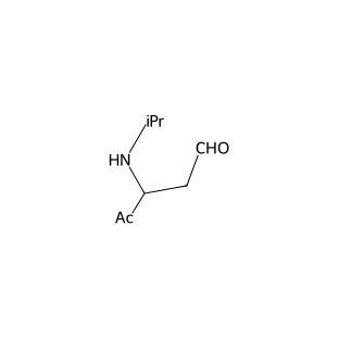 CC(=O)C(CC=O)NC(C)C